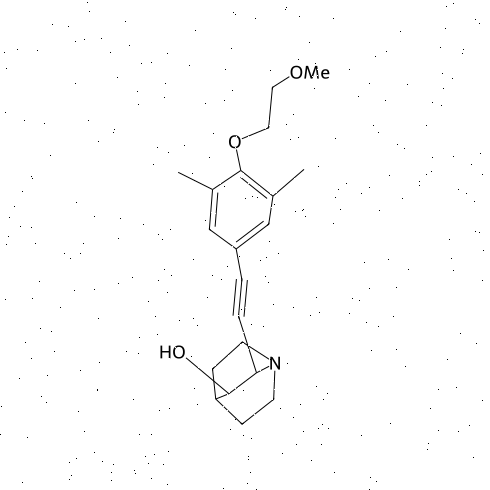 COCCOc1c(C)cc(C#CC2C(O)C3CCN2CC3)cc1C